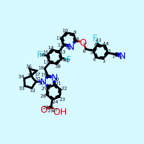 N#Cc1ccc(COc2cccc(-c3cc(F)c(Cc4nc5ccc(C(=O)O)cc5n4C4CCCC45CC5)cc3F)n2)c(F)c1